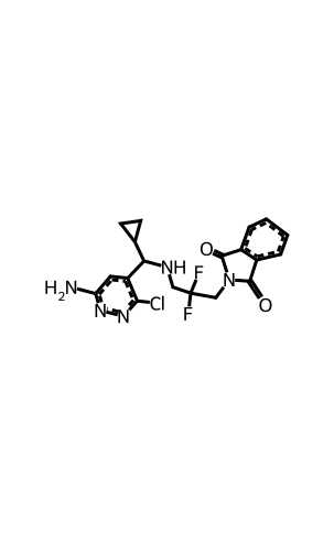 Nc1cc(C(NCC(F)(F)CN2C(=O)c3ccccc3C2=O)C2CC2)c(Cl)nn1